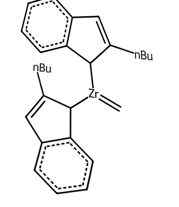 [CH2]=[Zr]([CH]1C(CCCC)=Cc2ccccc21)[CH]1C(CCCC)=Cc2ccccc21